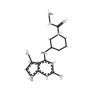 CC(C)(C)OC(=O)N1CCCC(Nc2nc(Cl)nc3[nH]cc(Cl)c23)C1